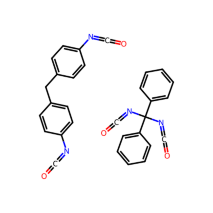 O=C=NC(N=C=O)(c1ccccc1)c1ccccc1.O=C=Nc1ccc(Cc2ccc(N=C=O)cc2)cc1